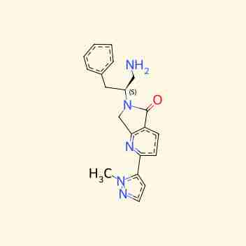 Cn1nccc1-c1ccc2c(n1)CN([C@H](CN)Cc1ccccc1)C2=O